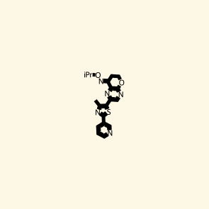 Cc1nc(-c2cccnc2)sc1-c1cnc2c(n1)/C(=N/OC(C)C)CCO2